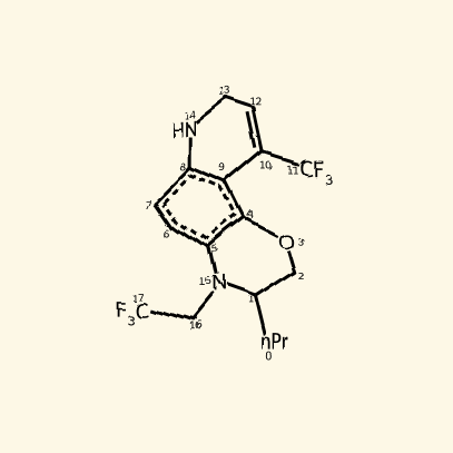 CCCC1COc2c(ccc3c2C(C(F)(F)F)=CCN3)N1CC(F)(F)F